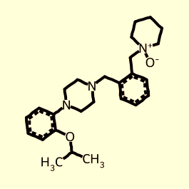 CC(C)Oc1ccccc1N1CCN(Cc2ccccc2C[N+]2([O-])CCCCC2)CC1